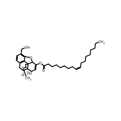 CCCCCCCC/C=C\CCCCCCCC(=O)OC1=CC[C@@]2(O)[C@H]3Cc4ccc(CO)c5c4C2(CCN3C)C1O5